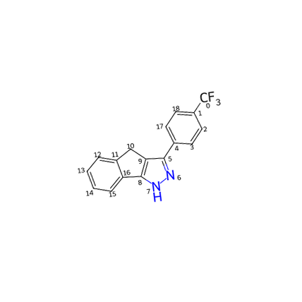 FC(F)(F)c1ccc(-c2n[nH]c3c2Cc2ccccc2-3)cc1